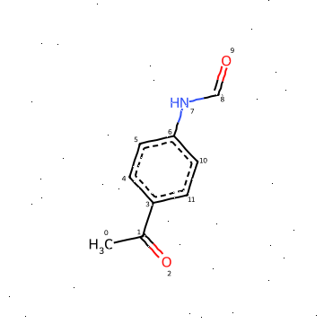 CC(=O)c1ccc(N[C]=O)cc1